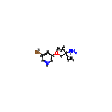 CC(C)(N)COc1cncc(Br)c1